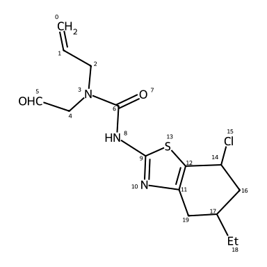 C=CCN(CC=O)C(=O)Nc1nc2c(s1)C(Cl)CC(CC)C2